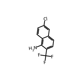 Nc1c(C(F)(F)F)ccc2cc(Cl)ccc12